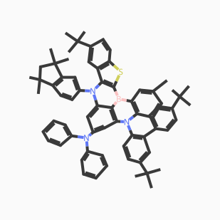 Cc1ccc2c(c1)B1c3sc4ccc(C(C)(C)C)cc4c3N(c3ccc4c(c3)C(C)(C)CC4(C)C)c3cc(N(c4ccccc4)c4ccccc4)cc(c31)N2c1ccc(C(C)(C)C)cc1-c1ccc(C(C)(C)C)cc1